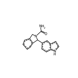 NC(=O)N1Cc2ccccc2C1c1ccc2[nH]ccc2c1